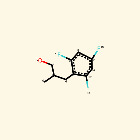 CC(C[O])Cc1c(F)cc(F)cc1F